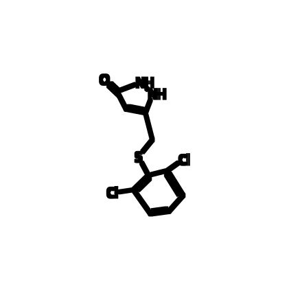 O=c1cc(CSc2c(Cl)cccc2Cl)[nH][nH]1